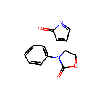 O=C1C=CC=N1.O=C1OCCN1c1ccccc1